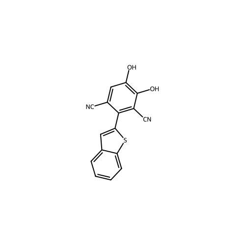 N#Cc1cc(O)c(O)c(C#N)c1-c1cc2ccccc2s1